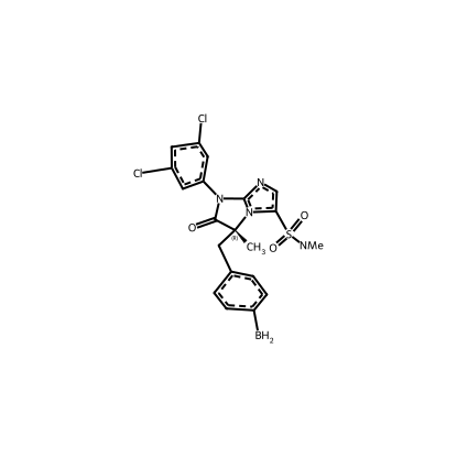 Bc1ccc(C[C@]2(C)C(=O)N(c3cc(Cl)cc(Cl)c3)c3ncc(S(=O)(=O)NC)n32)cc1